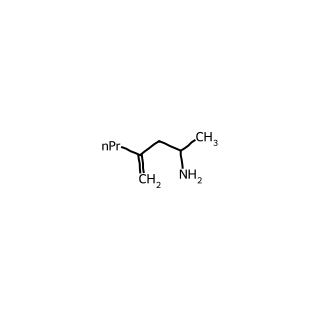 C=C(CCC)CC(C)N